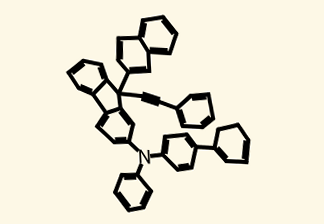 C(#CC1(c2ccc3ccccc3c2)c2ccccc2-c2ccc(N(c3ccccc3)c3ccc(C4=CC=CCC4)cc3)cc21)c1ccccc1